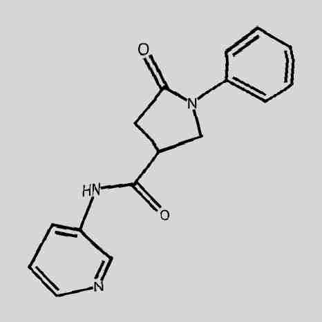 O=C(Nc1cccnc1)C1CC(=O)N(c2ccccc2)C1